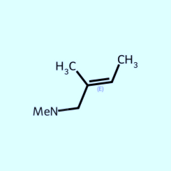 [CH2]NC/C(C)=C/C